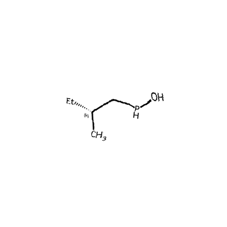 CC[C@@H](C)CPO